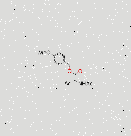 COc1ccc(COC(=O)C(NC(C)=O)C(C)=O)cc1